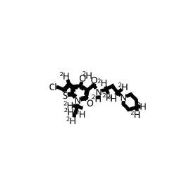 [2H]Oc1c(C(=O)N([2H])C([2H])([2H])CC([2H])([2H])N2CCC([2H])([2H])CC2)c(=O)n(C([2H])(C)C([2H])([2H])[2H])c2sc(Cl)c([2H])c12